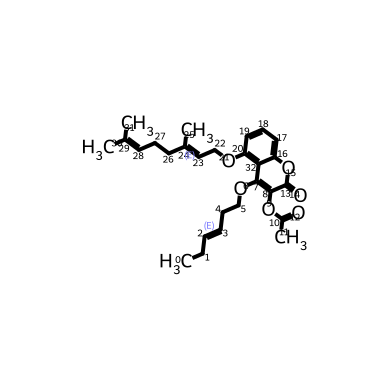 CC/C=C/CCOc1c(OC(C)=O)c(=O)oc2cccc(OC/C=C(\C)CCC=C(C)C)c12